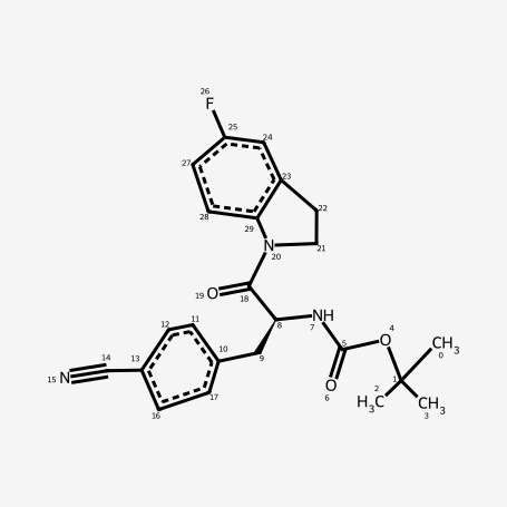 CC(C)(C)OC(=O)N[C@@H](Cc1ccc(C#N)cc1)C(=O)N1CCc2cc(F)ccc21